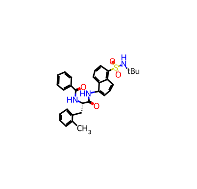 Cc1ccccc1C[C@H](NC(=O)c1ccccc1)C(=O)Nc1cccc2c(S(=O)(=O)NC(C)(C)C)cccc12